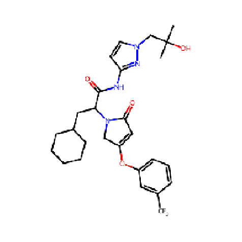 CC(C)(O)Cn1ccc(NC(=O)C(CC2CCCCC2)N2CC(Oc3cccc(C(F)(F)F)c3)=CC2=O)n1